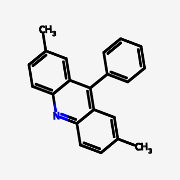 Cc1ccc2nc3ccc(C)cc3c(-c3ccccc3)c2c1